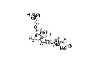 Cc1cc(OCCCS(C)(=O)=O)cc(C)c1-c1cccc(CNc2cnc([C@@H]3C[C@H]3C(=O)O)cn2)c1